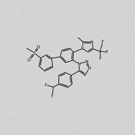 Cc1nc(C(F)(F)F)cn1-c1ccc(-c2cccc(S(C)(=O)=O)c2)cc1-n1nncc1-c1ccc(C(F)F)cc1